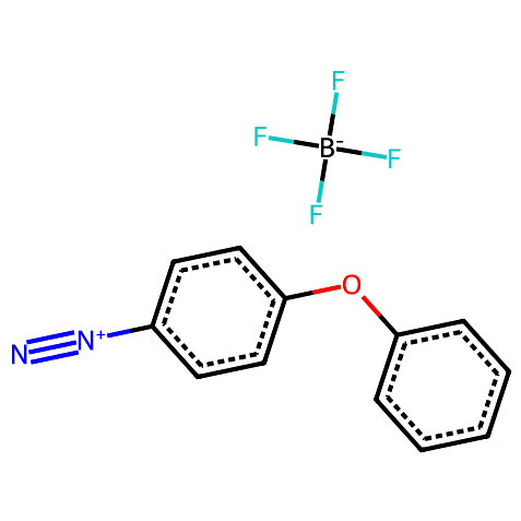 F[B-](F)(F)F.N#[N+]c1ccc(Oc2ccccc2)cc1